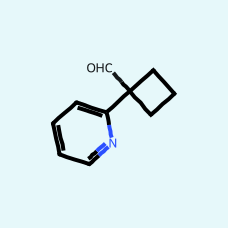 O=CC1(c2ccccn2)CCC1